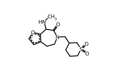 CNC1C(=O)N(CC2CCCS(=O)(=O)C2)CCc2ccoc21